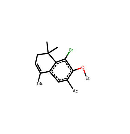 CCOc1c(C(C)=O)cc2c(c1Br)C(C)(C)CC=C2C(C)(C)C